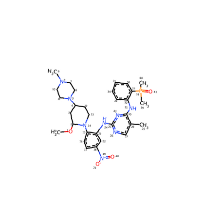 COC1CC(N2CCN(C)CC2)CCN1c1ccc([N+](=O)[O-])cc1Nc1ncc(C)c(Nc2ccccc2P(C)(C)=O)n1